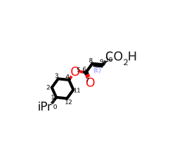 CC(C)C1CCC(OC(=O)/C=C/C(=O)O)CC1